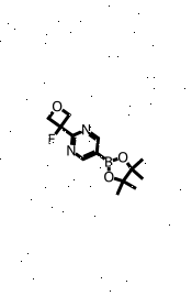 CC1(C)OB(c2cnc(C3(F)COC3)nc2)OC1(C)C